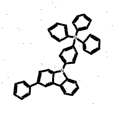 c1ccc(-c2ccc3c(c2)c2ccccc2n3-c2ccc([Si](c3ccccc3)(c3ccccc3)c3ccccc3)cc2)cc1